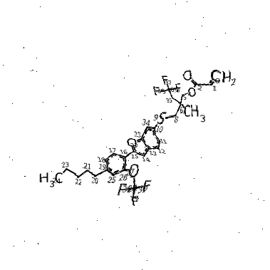 C=CC(=O)OCC(C)(CSc1ccc2cc(-c3ccc(CCCCC)cc3OC(F)(F)F)oc2c1)CC(F)(F)F